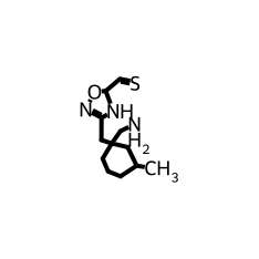 CC1CCCC(CN)(CC2=NOC(C=S)N2)C1